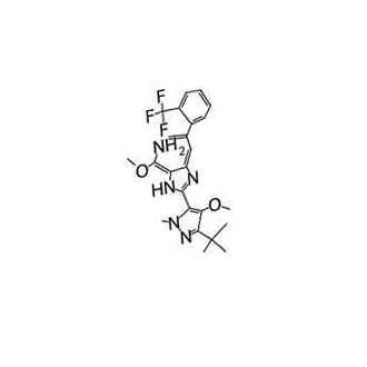 C=C(/C=c1/nc(-c2c(OC)c(C(C)(C)C)nn2C)[nH]/c1=C(/N)OC)c1ccccc1C(F)(F)F